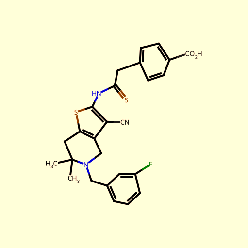 CC1(C)Cc2sc(NC(=S)Cc3ccc(C(=O)O)cc3)c(C#N)c2CN1Cc1cccc(F)c1